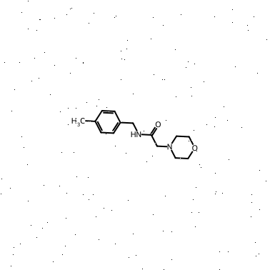 Cc1ccc(CNC(=O)CN2CCOCC2)cc1